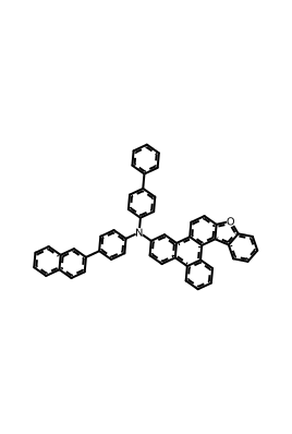 c1ccc(-c2ccc(N(c3ccc(-c4ccc5ccccc5c4)cc3)c3ccc4c5ccccc5c5c(ccc6oc7ccccc7c65)c4c3)cc2)cc1